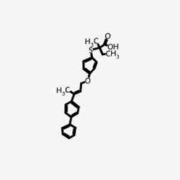 CCC(C)(Sc1ccc(OC/C=C(\C)c2ccc(-c3ccccc3)cc2)cc1)C(=O)O